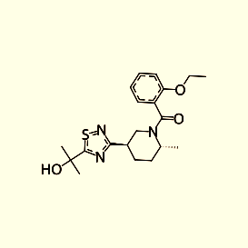 CCOc1ccccc1C(=O)N1C[C@H](c2nsc(C(C)(C)O)n2)CC[C@H]1C